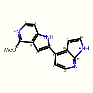 COc1nccc2[nH]c(-c3ccnc4[nH]ccc34)cc12